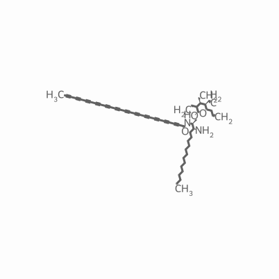 C=CCC1O[C@H](OC[C@H](NC(=O)C#CC#CC#CC#CC#CC#CC#CC#CC#CC#CC#CC#CC)[C@H](N)CCCCCCCCCCCCCC)C(C=C)[C@@H](C=C)[C@H]1C=C